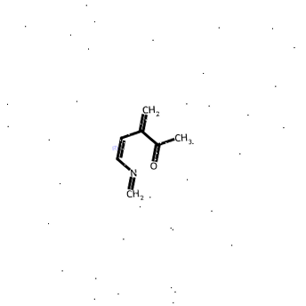 C=N/C=C\C(=C)C(C)=O